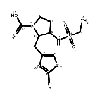 CCS(=O)(=O)NC1CCN(C(=O)O)C1Cc1csc(Br)n1